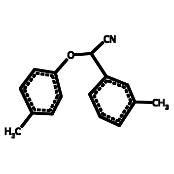 Cc1ccc(OC(C#N)c2cccc(C)c2)cc1